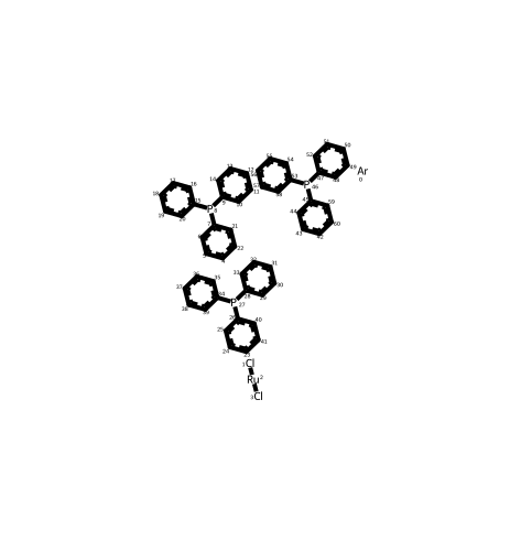 [Ar].[Cl][Ru][Cl].c1ccc(P(c2ccccc2)c2ccccc2)cc1.c1ccc(P(c2ccccc2)c2ccccc2)cc1.c1ccc(P(c2ccccc2)c2ccccc2)cc1